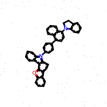 c1ccc2c(c1)CCN2c1ccc(-c2ccc(-n3c4ccccc4c4c5oc6ccccc6c5ccc43)cc2)c2ccccc12